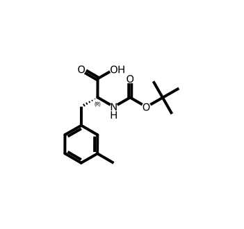 Cc1cccc(C[C@@H](NC(=O)OC(C)(C)C)C(=O)O)c1